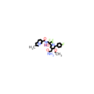 CCOc1c(CC(N)=O)cc([C@@](O)(CNC(=O)c2ccc3cc(C)cn3c2)C(F)(F)F)nc1-c1ccc(F)cc1